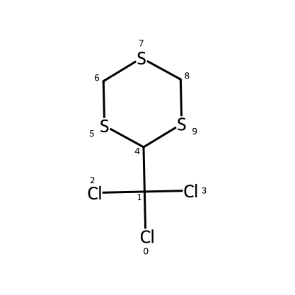 ClC(Cl)(Cl)C1SCSCS1